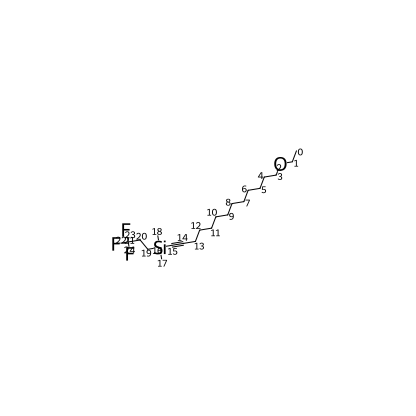 CCOCCCCCCCCCCCC#C[Si](C)(C)CCC(F)(F)F